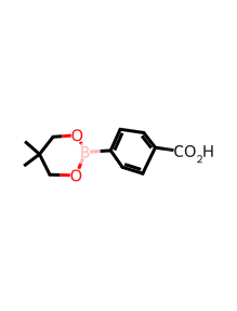 CC1(C)COB(c2ccc(C(=O)O)cc2)OC1